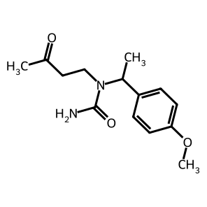 COc1ccc(C(C)N(CCC(C)=O)C(N)=O)cc1